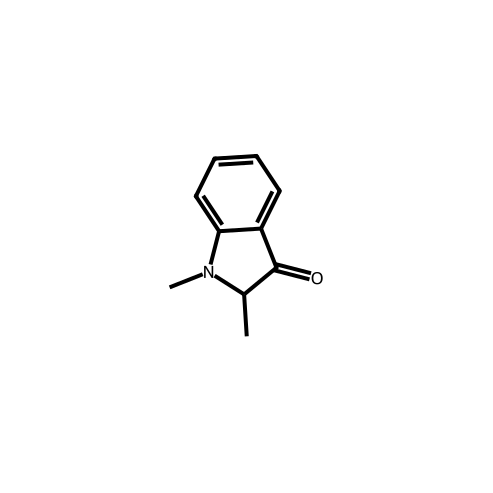 CC1C(=O)c2ccccc2N1C